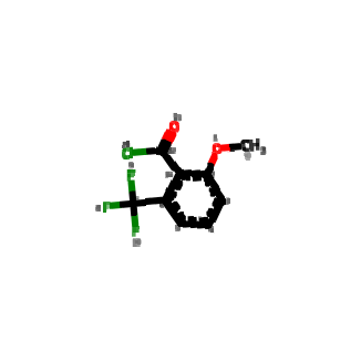 COc1cccc(C(F)(F)F)c1C(=O)Cl